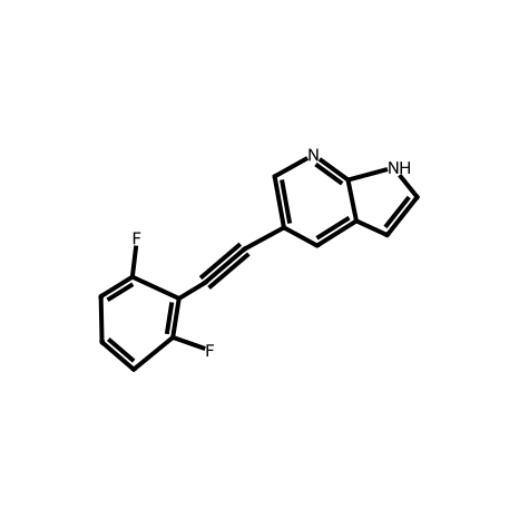 Fc1cccc(F)c1C#Cc1cnc2[nH]ccc2c1